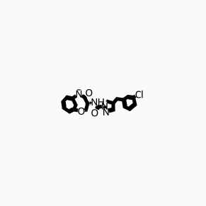 CN1C(=O)[C@@H](NC(=O)N2CC(Cc3cccc(Cl)c3)C=N2)COC2=CC=CC=C1C2